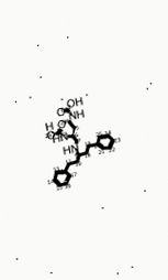 O=C(O)NCC[C@@H](CNC(CCc1ccccc1)CCc1ccccc1)NC(=O)O